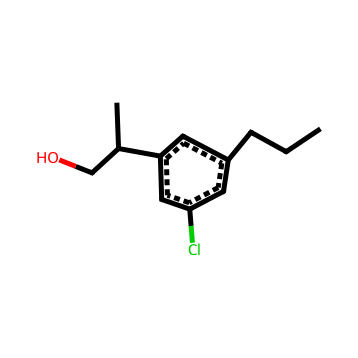 CCCc1cc(Cl)cc(C(C)CO)c1